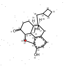 O=C1CC[C@H]2[C@H]3Cc4ccc(O)c5c4[C@@]2(CCN3CC2CCC2)[C@H]1O5